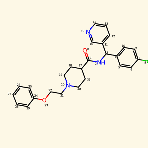 O=C(NC(c1ccc(Cl)cc1)c1cccnc1)C1CCN(CCOc2ccccc2)CC1